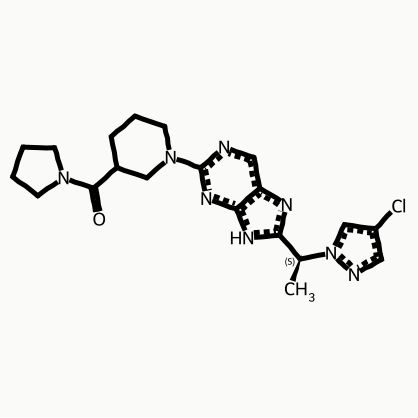 C[C@@H](c1nc2cnc(N3CCCC(C(=O)N4CCCC4)C3)nc2[nH]1)n1cc(Cl)cn1